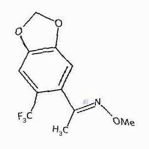 CO/N=C(\C)c1cc2c(cc1C(F)(F)F)OCO2